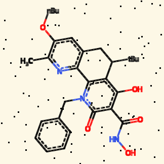 CCCCOc1cc2c(nc1C)-c1c(c(O)c(C(=O)NO)c(=O)n1Cc1ccccc1)C(C(C)(C)C)C2